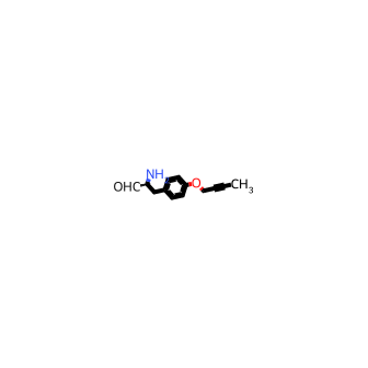 CC#CCOc1ccc(C[C@H](N)C=O)cc1